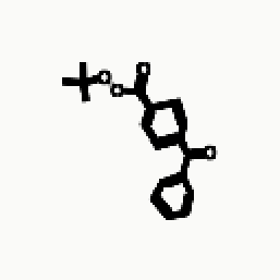 CC(C)(C)OOC(=O)c1ccc(C(=O)c2ccccc2)cc1